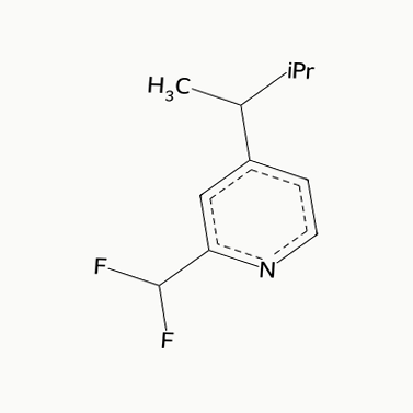 CC(C)C(C)c1ccnc(C(F)F)c1